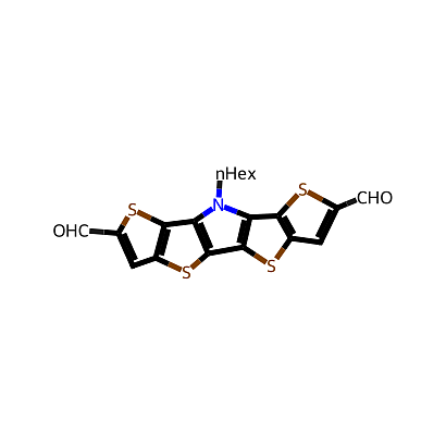 CCCCCCn1c2c3sc(C=O)cc3sc2c2sc3cc(C=O)sc3c21